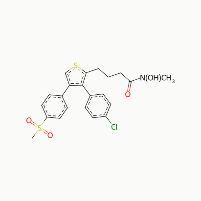 CN(O)C(=O)CCCc1scc(-c2ccc(S(C)(=O)=O)cc2)c1-c1ccc(Cl)cc1